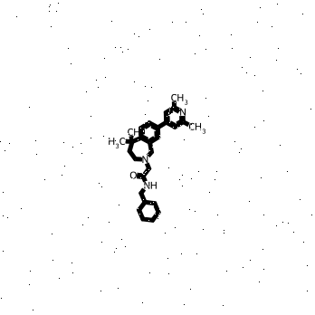 Cc1cc(-c2ccc3c(c2)CN(CC(=O)NCC2CCCCC2)CCC3(C)C)cc(C)n1